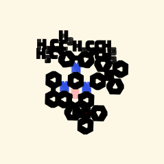 CC(C)(C)c1ccc2c(c1)c1cc(C(C)(C)C)ccc1n2-c1cc2c3c(c1)N(c1ccccc1-c1ccccc1)c1cccc(-c4ccccc4)c1B3c1cc([Si](c3ccccc3)(c3ccccc3)c3ccccc3)ccc1N2c1ccc([Si](c2ccccc2)(c2ccccc2)c2ccccc2)cc1